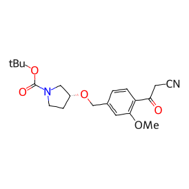 COc1cc(CO[C@@H]2CCN(C(=O)OC(C)(C)C)C2)ccc1C(=O)CC#N